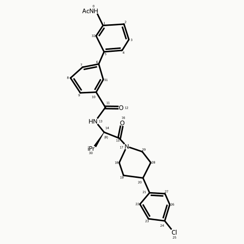 CC(=O)Nc1cccc(-c2cccc(C(=O)N[C@@H](C(=O)N3CCC(c4ccc(Cl)cc4)CC3)C(C)C)c2)c1